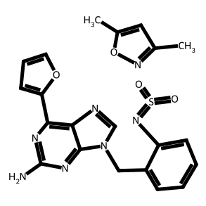 Cc1cc(C)on1.Nc1nc(-c2ccco2)c2ncn(Cc3ccccc3N=S(=O)=O)c2n1